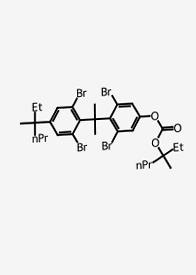 CCCC(C)(CC)OC(=O)Oc1cc(Br)c(C(C)(C)c2c(Br)cc(C(C)(CC)CCC)cc2Br)c(Br)c1